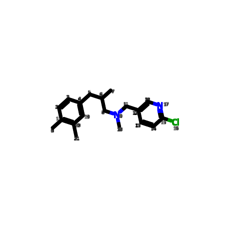 Cc1ccc(CC(C)CN(C)Cc2ccc(Cl)nc2)cc1C